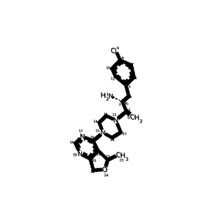 C=C([C@H](N)Cc1ccc(Cl)cc1)N1CCN(c2ncnc3c2C(C)OC3)CC1